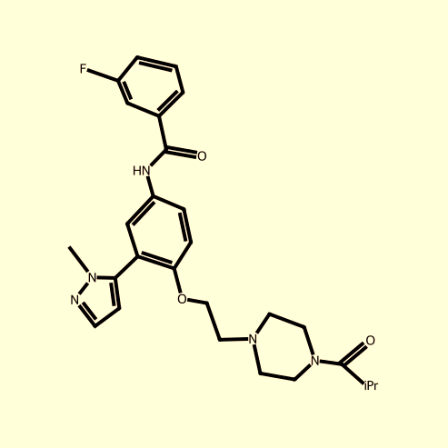 CC(C)C(=O)N1CCN(CCOc2ccc(NC(=O)c3cccc(F)c3)cc2-c2ccnn2C)CC1